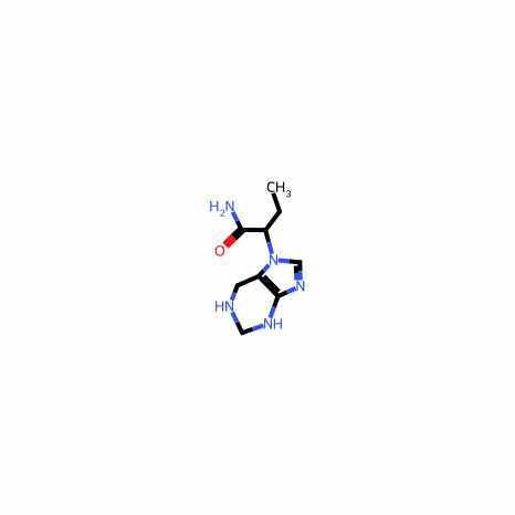 CCC(C(N)=O)n1cnc2c1CNCN2